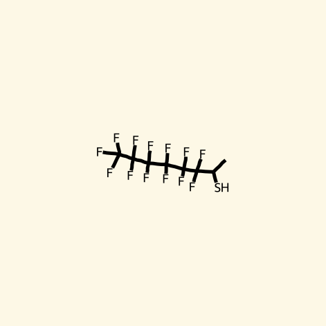 CC(S)C(F)(F)C(F)(F)C(F)(F)C(F)(F)C(F)(F)C(F)(F)F